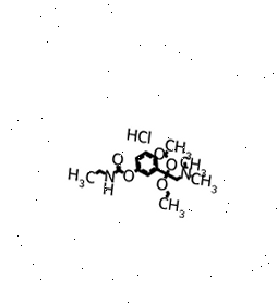 CCNC(=O)Oc1cccc(C(CN(C)C)(OCC)OC(C)=O)c1.Cl